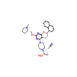 CN1CCC[C@H]1COc1nc2c(c(N3CCN(C(=O)O)[C@@H](CC#N)C3)n1)CCC(c1cccc3ccccc13)O2